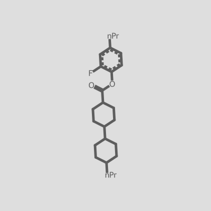 CCCc1ccc(OC(=O)C2CCC(C3CCC(CCC)CC3)CC2)c(F)c1